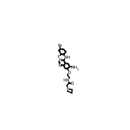 Nc1cc2c(Nc3ccc(Br)cc3F)ncnc2cc1OCCNC(=O)CN1CCC1